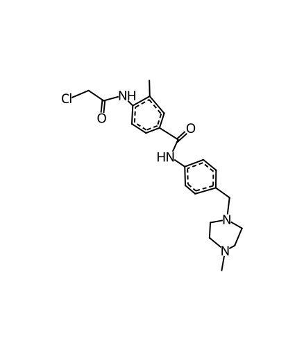 Cc1cc(C(=O)Nc2ccc(CN3CCN(C)CC3)cc2)ccc1NC(=O)CCl